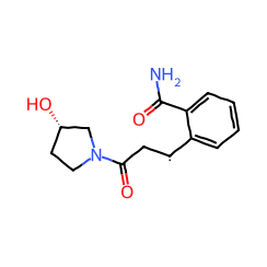 NC(=O)c1ccccc1[CH]CC(=O)N1CC[C@H](O)C1